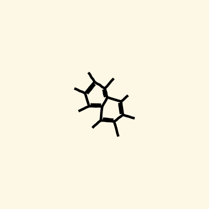 Cc1c(C)c(C)c2c(C)c(C)c(C)c(C)c2c1C